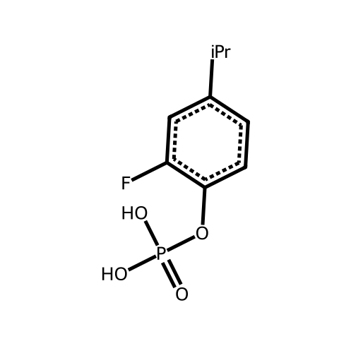 CC(C)c1ccc(OP(=O)(O)O)c(F)c1